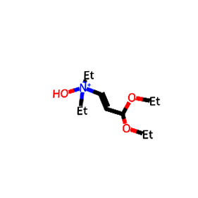 CCOC(/C=C/[N+](O)(CC)CC)OCC